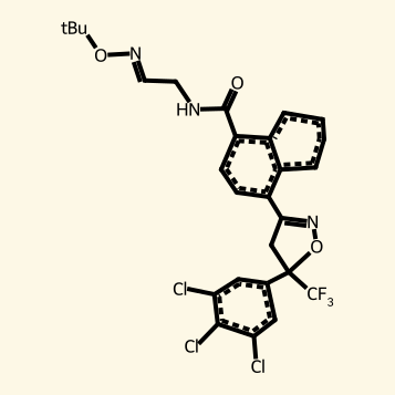 CC(C)(C)ON=CCNC(=O)c1ccc(C2=NOC(c3cc(Cl)c(Cl)c(Cl)c3)(C(F)(F)F)C2)c2ccccc12